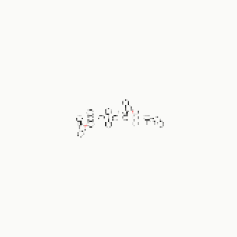 c1ccc([Si](c2ccccc2)(c2ccc(-c3c4ccccc4c(-c4cccc5oc6c7ccccc7ccc6c45)c4ccccc34)cc2)c2ccc(-c3ccc(-c4c5ccccc5c(-c5ccc6c(c5)oc5c7ccccc7ccc65)c5ccccc45)c4c3oc3c5ccccc5ccc34)cc2)cc1